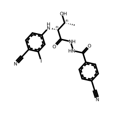 C[C@@H](O)[C@@H](Nc1ccc(C#N)c(I)c1)C(=O)NNC(=O)c1ccc(C#N)cc1